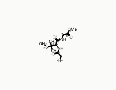 [2H]CC(=O)N[C@H](C(=O)NCC(=O)OC)C(C)(C)SN=O